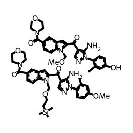 COCn1c(C(=O)c2cnn(-c3ccc(O)cc3C)c2N)cc2cc(C(=O)N3CCOCC3)ccc21.COc1ccc(-n2ncc(C(=O)c3cc4cc(C(=O)N5CCOCC5)ccc4n3COCC[Si](C)(C)C)c2N)c(C)c1